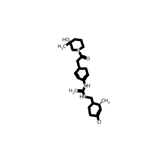 C=C(NCC1CCC(Cl)=C[C@H]1C)NC1=CCC(CC(=O)N2CCCC(C)(O)C2)C=C1